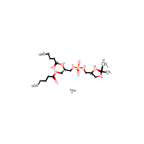 CCCCCCCCCCCCCC(=O)OC[C@H](COP(=O)([O-])OCC1COC(C)(C)O1)OC(=O)CCCCCCCCCCCCC.[Na+]